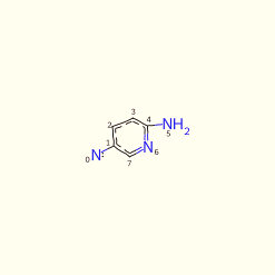 [N]c1ccc(N)nc1